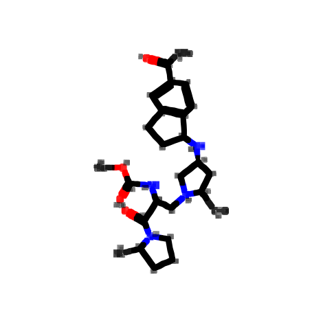 CNC(=O)c1ccc2c(c1)CCC2N[C@H]1CC(C=O)N(CC(NC(=O)OC(C)(C)C)C(=O)N2CCCC2C#N)C1